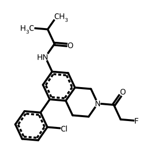 CC(C)C(=O)Nc1cc2c(c(-c3ccccc3Cl)c1)CCN(C(=O)CF)C2